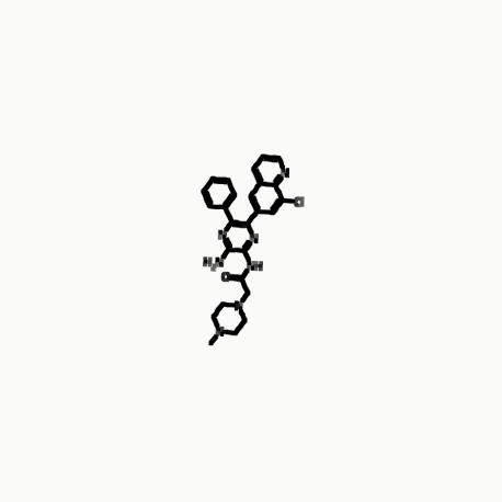 CN1CCN(CC(=O)Nc2nc(-c3cc(Cl)c4ncccc4c3)c(-c3ccccc3)nc2N)CC1